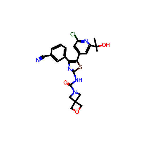 CC(C)(O)c1cc(-c2sc(NC(=O)N3CC4(COC4)C3)nc2-c2cccc(C#N)c2)cc(Cl)n1